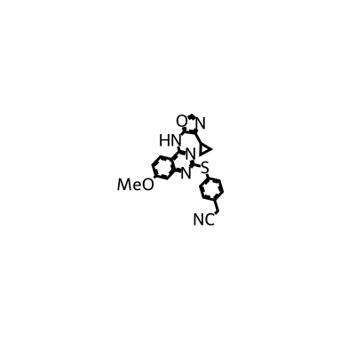 COc1ccc2c(Nc3ocnc3C3CC3)nc(Sc3ccc(CC#N)cc3)nc2c1